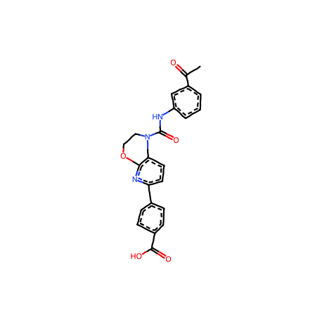 CC(=O)c1cccc(NC(=O)N2CCOc3nc(-c4ccc(C(=O)O)cc4)ccc32)c1